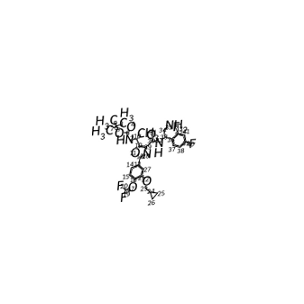 CC(NC(=O)OC(C)(C)C)c1oc(-c2ccc(OC(F)F)c(OCC3CC3)c2)nc1C(=O)NC(CN)c1ccc(F)cc1F